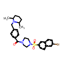 CC1CCCC(C)N1Cc1ccc(C(=O)N2CCN(S(=O)(=O)c3ccc4cc(Br)ccc4c3)CC2)cc1